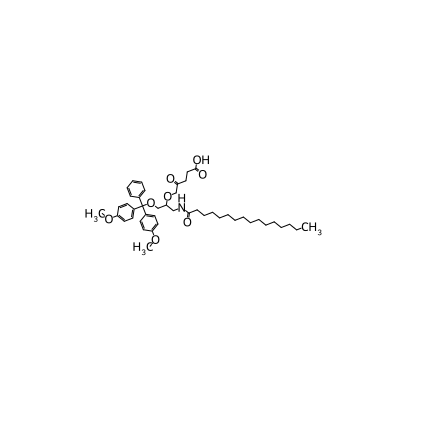 CCCCCCCCCCCCCCCC(=O)NCC(COC(c1ccccc1)(c1ccc(OC)cc1)c1ccc(OC)cc1)OCC(=O)CCC(=O)O